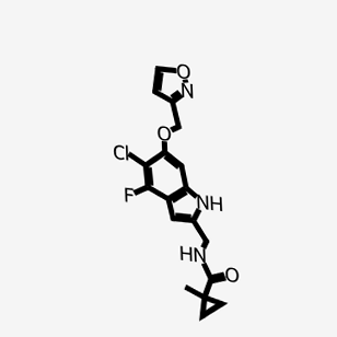 CC1(C(=O)NCc2cc3c(F)c(Cl)c(OCc4ccon4)cc3[nH]2)CC1